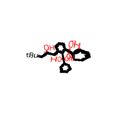 CC(C)(C)C[C@@H](O)Cc1cccc(C(O)(O)c2ccccc2)c1C(O)(O)c1ccccc1